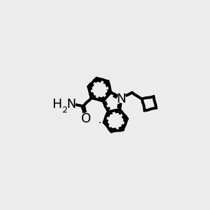 NC(=O)c1cccc2c1c1[c]cccc1n2CC1CCC1